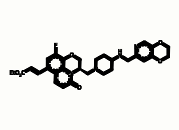 CCOC(=O)/C=C/c1cc(F)c2c3c1ccc(=O)n3[C@H](CN1CCC(NCc3cc4c(cn3)OCCO4)CC1)CO2